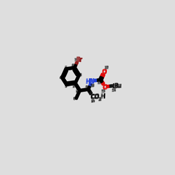 CC(c1cccc(Br)c1)C(NC(=O)OC(C)(C)C)C(=O)O